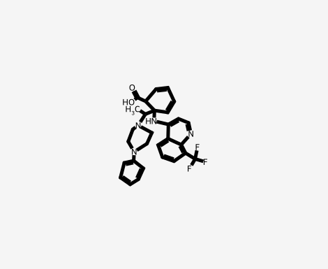 CC(N1CCN(c2ccccc2)CC1)C1(Nc2ccnc3c(C(F)(F)F)cccc23)C=CC=CC1C(=O)O